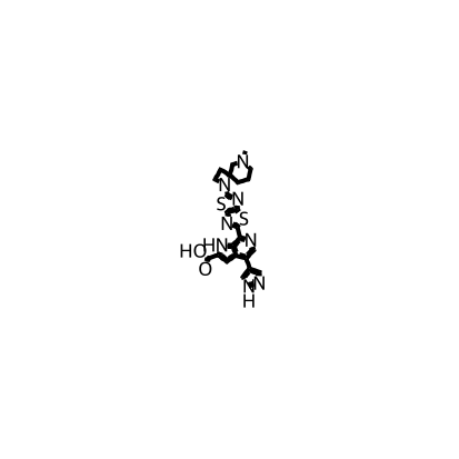 CN1CCCC2(CCN2c2nc3sc(-c4ncc(-c5cn[nH]c5)c5cc(C(=O)O)[nH]c45)nc3s2)C1